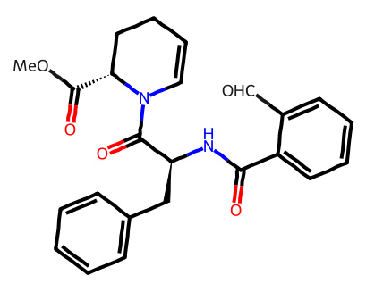 COC(=O)[C@@H]1CCC=CN1C(=O)[C@H](Cc1ccccc1)NC(=O)c1ccccc1C=O